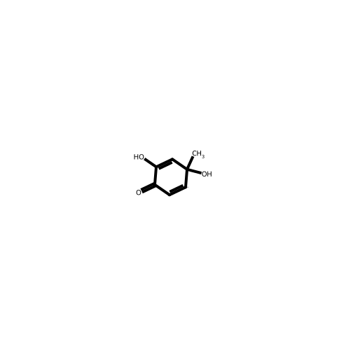 CC1(O)[C]=CC(=O)C(O)=C1